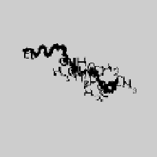 CC/C=C\C/C=C\C/C=C\C/C=C\C/C=C\C/C=C\CCC(=O)NCCN(C)CCNC(=O)C(C)(C)CCCOc1cc(C)ccc1C